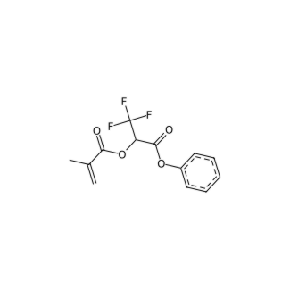 C=C(C)C(=O)OC(C(=O)Oc1ccccc1)C(F)(F)F